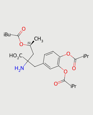 CCC(C)C(=O)O[C@@H](C)CC(N)(Cc1ccc(OC(=O)C(C)C)c(OC(=O)C(C)C)c1)C(=O)O